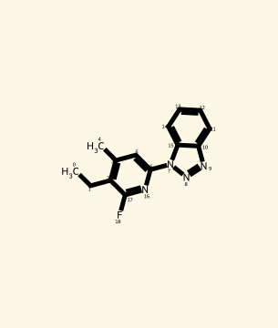 CCc1c(C)cc(-n2nnc3ccccc32)nc1F